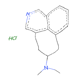 CN(C)C1Cc2cccc3cncc(c23)C1.Cl